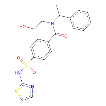 CC(c1ccccc1)N(CCO)C(=O)c1ccc(S(=O)(=O)Nc2nccs2)cc1